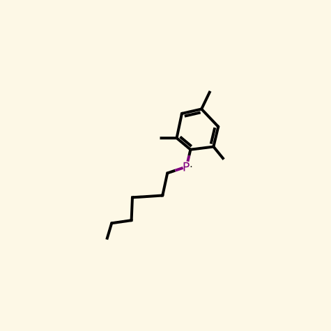 CCCCCC[P]c1c(C)cc(C)cc1C